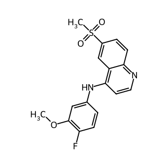 COc1cc(Nc2ccnc3ccc(S(C)(=O)=O)cc23)ccc1F